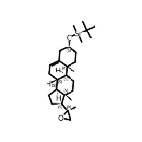 CC(C)(C)[Si](C)(C)O[C@H]1CC[C@@]2(C)C(=CC[C@H]3[C@@H]4CC[C@H]([C@]5(C)CO5)[C@@]4(C)CC[C@@H]32)C1